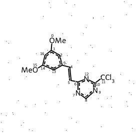 COc1cc(C=Cc2ncnc(C(Cl)(Cl)Cl)n2)cc(OC)c1